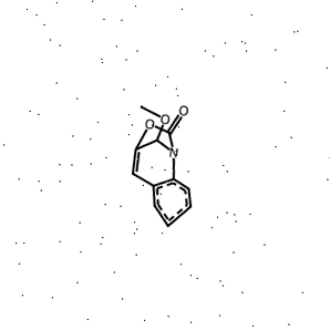 COC1C2=Cc3ccccc3N1C(=O)O2